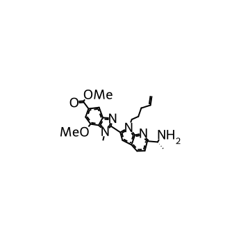 C=CCCCn1c(-c2nc3cc(C(=O)OC)cc(OC)c3n2C)cc2ccc([C@@H](C)N)nc21